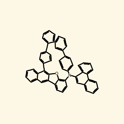 c1ccc(-c2ccc(-c3c4ccccc4cc4c3oc3c(N(c5ccc(-c6ccccc6)cc5)c5cc6ccccc6c6ccccc56)cccc34)cc2)cc1